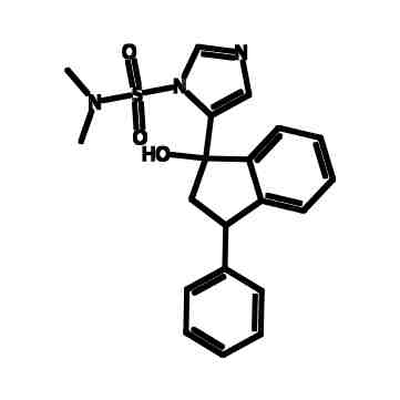 CN(C)S(=O)(=O)n1cncc1C1(O)CC(c2ccccc2)c2ccccc21